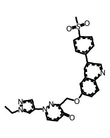 CCn1cc(-n2ccc(=O)c(COc3ccc4ncc(-c5ccc(S(C)(=O)=O)cc5)cc4c3)n2)cn1